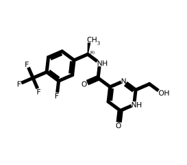 C[C@@H](NC(=O)c1cc(=O)[nH]c(CO)n1)c1ccc(C(F)(F)F)c(F)c1